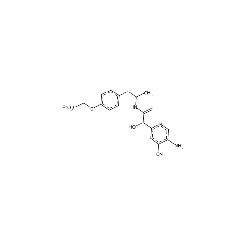 CCOC(=O)COc1ccc(CC(C)NC(=O)C(O)c2cc(C#N)c(N)cn2)cc1